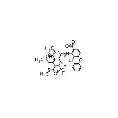 CSC(=O)c1c(C(F)F)nc(C(F)(F)F)c(C(=O)SC)c1CC(C)C.Nc1c([N+](=O)[O-])ccc(Oc2ccccc2)c1Cl